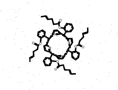 CC=CCCC(=O)Oc1ccccc1-c1c2nc(c(-c3ccccc3OC(=O)CCC=CC)c3ccc([nH]3)c(-c3ccccc3OC(=O)CCC=CC)c3nc(c(-c4ccccc4OC(=O)CCC=CC)c4ccc1[nH]4)C=C3)C=C2